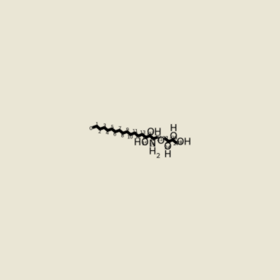 CCCCCCCCCCCCCC[C@@H](O)[C@@H](O)[C@@H](N)COC[C@H](O)[C@@H](O)CO